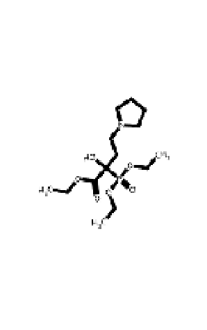 CCOC(=O)C(O)(CCN1CCCC1)P(=O)(OCC)OCC